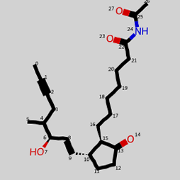 CC#CCC(C)[C@H](O)C=C[C@H]1CCC(=O)[C@@H]1CCCCCCC(=O)NC(C)=O